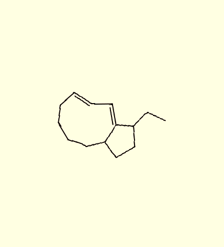 CCC1CCC2CCCC/C=C/C=C/12